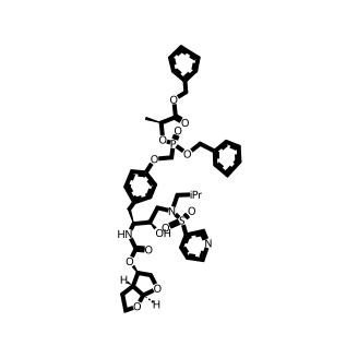 CC(C)CN(C[C@@H](O)[C@H](Cc1ccc(OCP(=O)(OCc2ccccc2)O[C@@H](C)C(=O)OCc2ccccc2)cc1)NC(=O)O[C@H]1CO[C@H]2OCC[C@H]21)S(=O)(=O)c1cccnc1